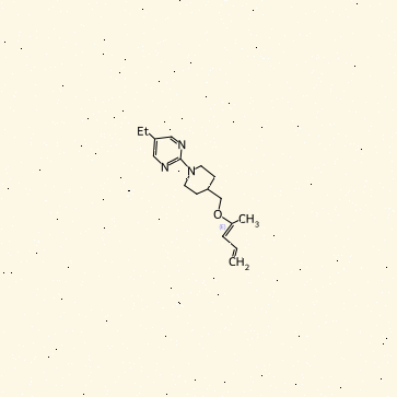 C=C/C=C(\C)OCC1CCN(c2ncc(CC)cn2)CC1